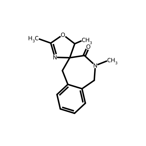 CC1=NC2(Cc3ccccc3CN(C)C2=O)C(C)O1